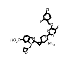 N.O=C(O)c1ccc2nc(C3CC34CCN(c3ncc(F)c(OCc5ccc(Cl)cc5F)n3)CC4)n(C[C@@H]3CCO3)c2c1